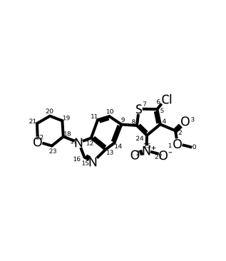 COC(=O)c1c(Cl)sc(-c2ccc3c(c2)ncn3C2CCCOC2)c1[N+](=O)[O-]